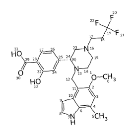 COc1cc(C)c2[nH]ccc2c1CN1CCN(CCC(F)(F)F)C[C@H]1c1ccc(C(=O)O)c(O)c1